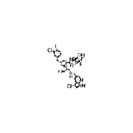 NC(=O)[C@@H]1CC(Cc2ccc(F)c(Cl)c2)CN1C(C=O)CNCc1cnc2[nH]cc(Cl)c2c1.O=C(O)C(F)(F)F